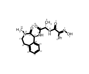 CC(C)/C(=N\O)C(=O)N[C@@H](C)C(=O)N[C@@H]1C(=O)N(C)CCc2ccccc21